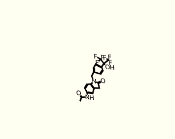 CC(=O)Nc1ccc2c(c1)CC(=O)N2Cc1ccc(C(O)(C(F)(F)F)C(F)(F)F)cc1